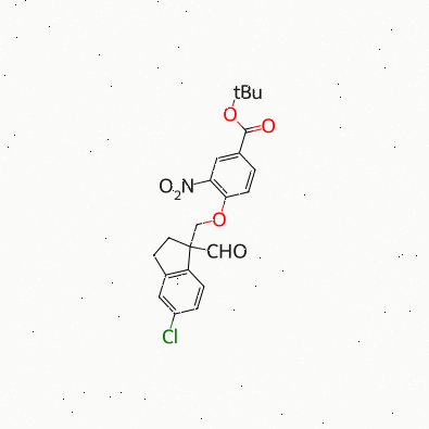 CC(C)(C)OC(=O)c1ccc(OCC2(C=O)CCc3cc(Cl)ccc32)c([N+](=O)[O-])c1